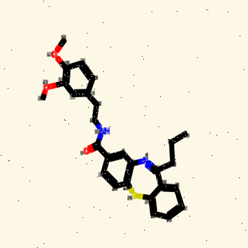 CCCC1=Nc2cc(C(=O)NCCc3ccc(OC)c(OC)c3)ccc2Sc2ccccc21